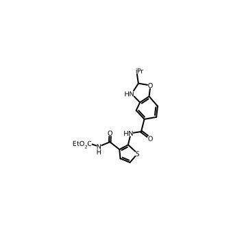 CCOC(=O)NC(=O)c1ccsc1NC(=O)c1ccc2c(c1)NC(C(C)C)O2